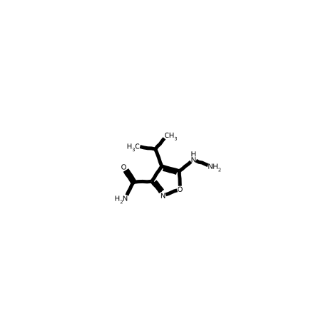 CC(C)c1c(C(N)=O)noc1NN